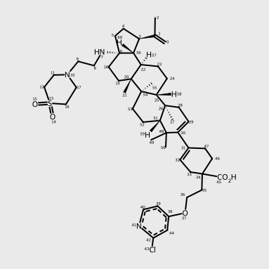 C=C(C)[C@@H]1CC[C@]2(NCCN3CCS(=O)(=O)CC3)CC[C@]3(C)[C@H](CC[C@@H]4[C@@]5(C)CC=C(C6=CCC(CCOc7ccnc(Cl)c7)(C(=O)O)CC6)C(C)(C)[C@@H]5CC[C@]43C)[C@@H]12